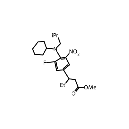 CCC(CC(=O)OC)c1cc(F)c(N(CC(C)C)C2CCCCC2)c([N+](=O)[O-])c1